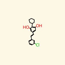 Oc1cc(/C=C/c2cccc(Cl)c2)cc(O)c1C1CCCCC1